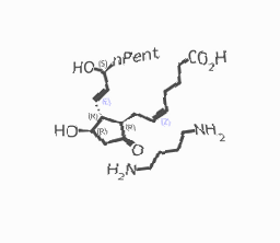 CCCCC[C@H](O)/C=C/[C@H]1[C@H](O)CC(=O)[C@@H]1C/C=C\CCCC(=O)O.NCCCCN